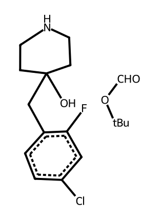 CC(C)(C)OC=O.OC1(Cc2ccc(Cl)cc2F)CCNCC1